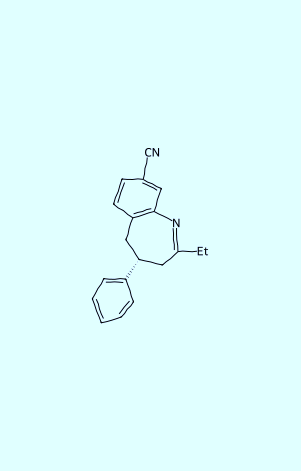 CCC1=Nc2cc(C#N)ccc2C[C@@H](c2ccccc2)C1